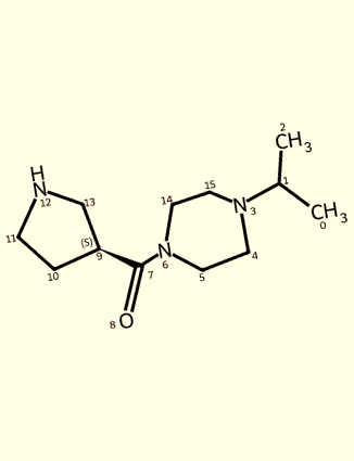 CC(C)N1CCN(C(=O)[C@H]2CCNC2)CC1